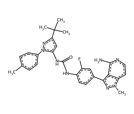 Cc1ccc(-n2nc(C(C)(C)C)cc2NC(=O)Nc2ccc(-c3nn(C)c4ccnc(N)c34)cc2F)cc1